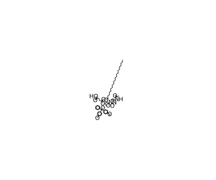 CCCCCCCCCCCCCCCCCCCCCCO[C@H]1C(OC(=O)CCC(=O)O)[C@@H](COC(c2ccccc2)(c2ccc(OC)cc2)c2ccc(OC)cc2)O[C@H]1n1ccc(NC(C)=O)nc1=O